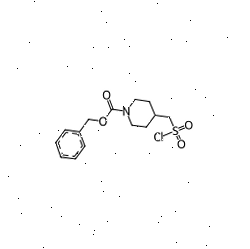 O=C(OCc1ccccc1)N1CCC(CS(=O)(=O)Cl)CC1